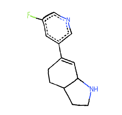 Fc1cncc(C2=CC3NCCC3CC2)c1